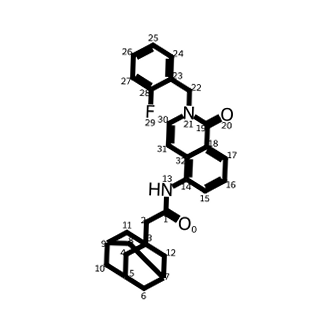 O=C(CC12CC3CC(CC(C3)C1)C2)Nc1cccc2c(=O)n(Cc3ccccc3F)ccc12